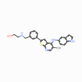 N#Cc1cnc2sc(-c3cccc(CNCCO)c3)cc2c1Nc1ccc2[nH]ccc2c1